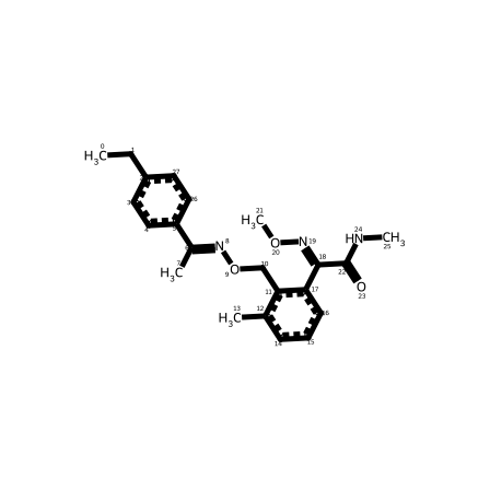 CCc1ccc(/C(C)=N/OCc2c(C)cccc2/C(=N\OC)C(=O)NC)cc1